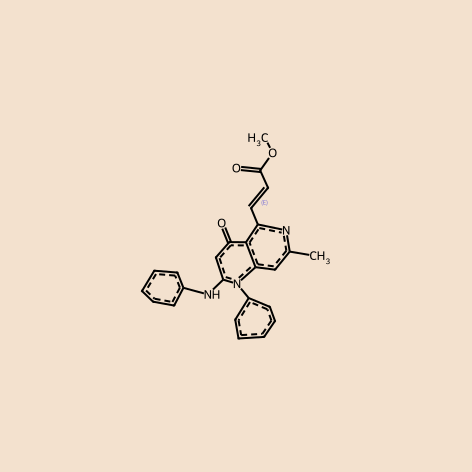 COC(=O)/C=C/c1nc(C)cc2c1c(=O)cc(Nc1ccccc1)n2-c1ccccc1